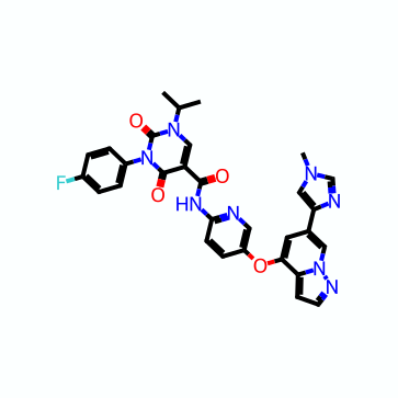 CC(C)n1cc(C(=O)Nc2ccc(Oc3cc(-c4cn(C)cn4)cn4nccc34)cn2)c(=O)n(-c2ccc(F)cc2)c1=O